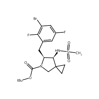 CC(C)(C)OC(=O)N1CC2(CC2)[C@H](NS(C)(=O)=O)[C@@H]1Cc1cc(F)cc(Br)c1F